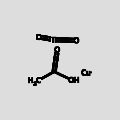 CC(=O)O.[Cu].[O]=[Ti]=[O]